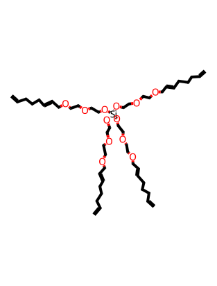 C=CCCCC=CCOCCOCCO[Si](OCCOCCOCC=CCCCC=C)(OCCOCCOCC=CCCCC=C)OCCOCCOCC=CCCCC=C